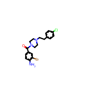 Nc1ccc(C(=O)N2CCN(CCc3ccc(Cl)cc3)CC2)cc1Br